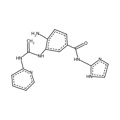 C=C(Nc1ccccn1)Nc1cc(C(=O)Nc2ncc[nH]2)ccc1N